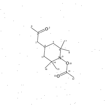 CC(=O)CC1CC(C)(C)N(OC(C)=O)C(C)(C)C1